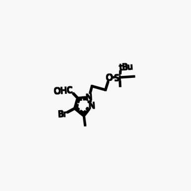 Cc1nn(CCO[Si](C)(C)C(C)(C)C)c(C=O)c1Br